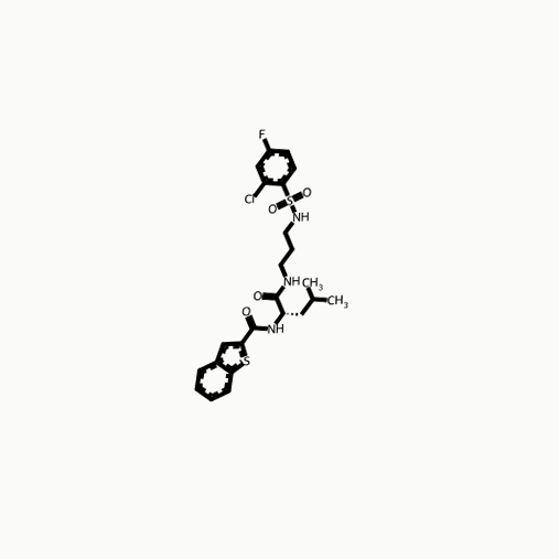 CC(C)C[C@H](NC(=O)c1cc2ccccc2s1)C(=O)NCCCNS(=O)(=O)c1ccc(F)cc1Cl